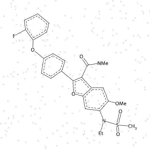 CCN(c1cc2oc(-c3ccc(Oc4ccccc4F)cc3)c(C(=O)NC)c2cc1OC)S(C)(=O)=O